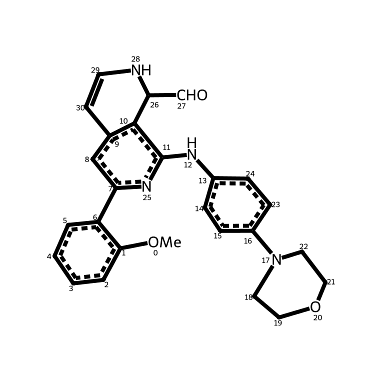 COc1ccccc1-c1cc2c(c(Nc3ccc(N4CCOCC4)cc3)n1)C(C=O)NC=C2